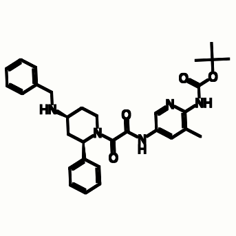 Cc1cc(NC(=O)C(=O)N2CC[C@H](NCc3ccccc3)C[C@@H]2c2ccccc2)cnc1NC(=O)OC(C)(C)C